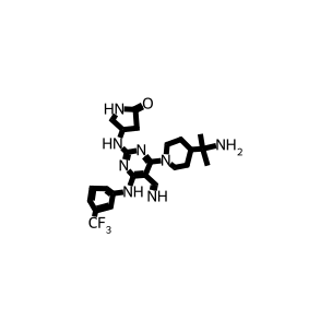 CC(C)(N)C1CCN(c2nc(NC3CNC(=O)C3)nc(Nc3cccc(C(F)(F)F)c3)c2C=N)CC1